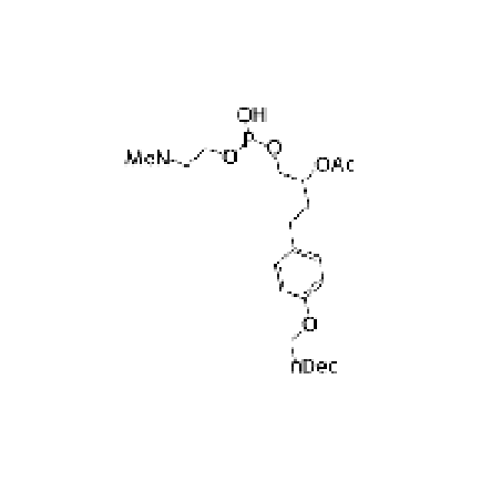 CCCCCCCCCCCOc1ccc(CCC(COP(O)OCCNC)OC(C)=O)cc1